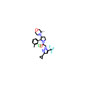 Cc1cccc([C@H]2[C@@H](N3CCOC[C@@H]3C)CCN2C(=O)Cn2nc(C3CC3)cc2C(F)(F)F)c1Cl